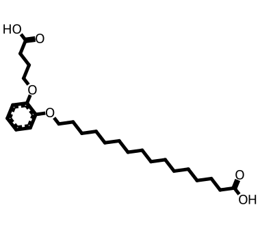 O=C(O)CCCCCCCCCCCCCCCOc1ccccc1OCCCC(=O)O